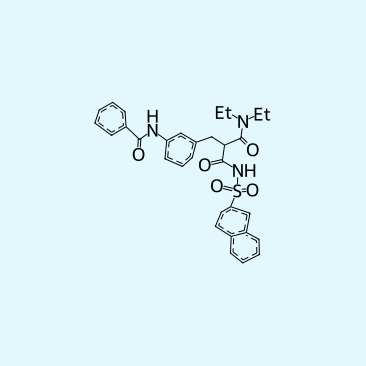 CCN(CC)C(=O)C(Cc1cccc(NC(=O)c2ccccc2)c1)C(=O)NS(=O)(=O)c1ccc2ccccc2c1